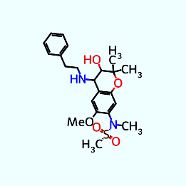 COc1cc2c(cc1N(C)S(C)(=O)=O)OC(C)(C)C(O)C2NCCc1ccccc1